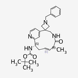 C[C@@H]1/C=C/C[C@H](NC(=O)OC(C)(C)C)c2cc(ccn2)C2(CNC1=O)CN(Cc1ccccc1)C2